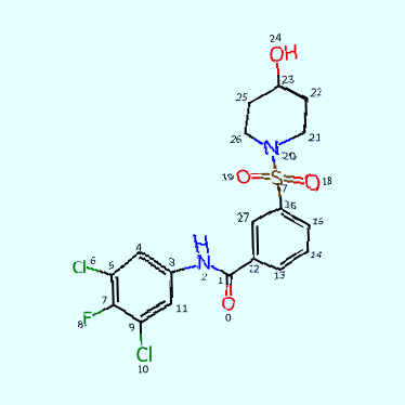 O=C(Nc1cc(Cl)c(F)c(Cl)c1)c1cccc(S(=O)(=O)N2CCC(O)CC2)c1